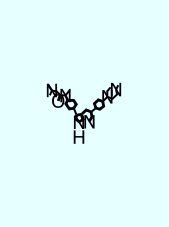 CN(C)CC(=O)N(C)c1ccc(-c2c[nH]c3ncc(-c4ccc(N5CCN(C)CC5)cc4)cc23)cc1